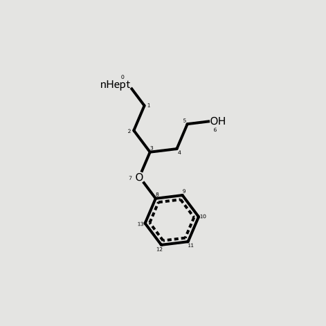 CCCCCCCCCC(CCO)Oc1ccccc1